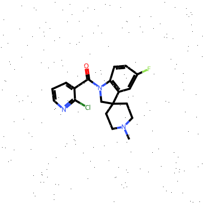 CN1CCC2(CC1)CN(C(=O)c1cccnc1Cl)c1ccc(F)cc12